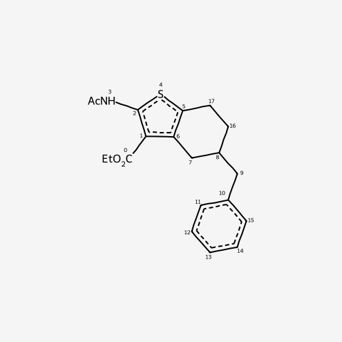 CCOC(=O)c1c(NC(C)=O)sc2c1CC(Cc1ccccc1)CC2